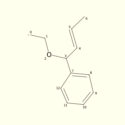 [CH2]COC(C=CC)c1ccccc1